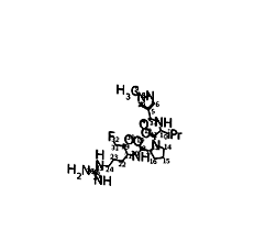 CC(C)C(NC(=O)c1cnn(C)c1)C(=O)N1CCC[C@H]1C(=O)N[C@@H](CCCNC(=N)N)C(=O)CF